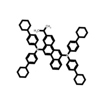 CC(C)c1ccc2c(c1)c(N(c1ccc(C3CCCCC3)cc1)c1ccc(C3CCCCC3)cc1)cc1c3ccccc3c(N(c3ccc(C4CCCCC4)cc3)c3ccc(C4CCCCC4)cc3)cc21